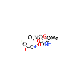 COC(=O)C1=C(C)NC(C)=C(C(=O)OCCN2CCC(C(=O)c3ccc(F)cc3)CC2)[C@H]1c1cccc([N+](=O)[O-])c1